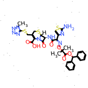 Cn1nnnc1SCC1=C(C(=O)O)N2C(=O)[C@@H](NC(=O)/C(=N\OC(C)(C)C(=O)OC(c3ccccc3)c3ccccc3)c3csc(N)n3)[C@H]2SC1